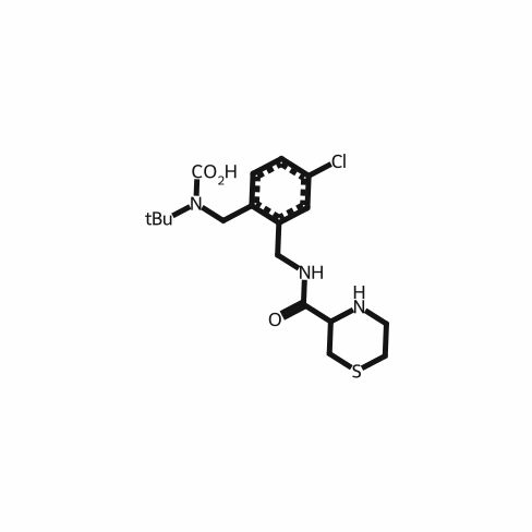 CC(C)(C)N(Cc1ccc(Cl)cc1CNC(=O)C1CSCCN1)C(=O)O